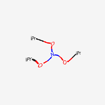 CC(C)ON(OC(C)C)OC(C)C